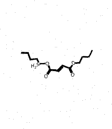 CCCCOC(=O)C=CC(=O)O[SiH2]CCCC